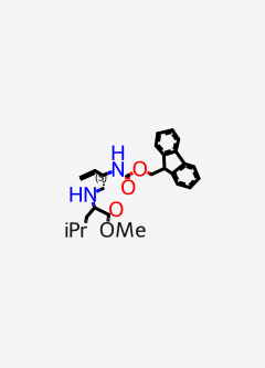 C=C[C@@H](CNC(CC(C)C)C(=O)OC)NC(=O)OCC1c2ccccc2-c2ccccc21